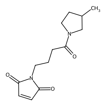 CC1CCN(C(=O)CCCN2C(=O)C=CC2=O)C1